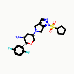 N[C@H]1C[C@@H](N2Cc3cnn(S(=O)(=O)C4CCCC4)c3C2)CO[C@@H]1c1cc(F)ccc1F